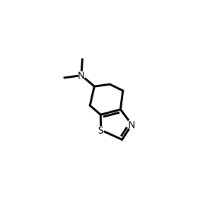 CN(C)C1CCc2ncsc2C1